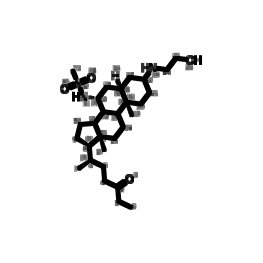 CCC(=O)CC[C@@H](C)[C@H]1CCC2C3C(CC[C@@]21C)[C@@]1(C)CCC(NCCO)C[C@H]1C[C@H]3NS(C)(=O)=O